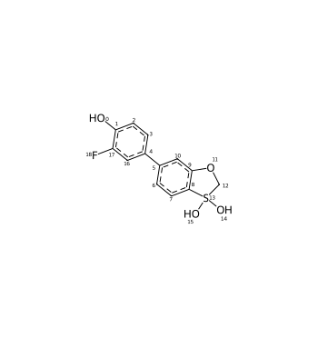 Oc1ccc(-c2ccc3c(c2)OCS3(O)O)cc1F